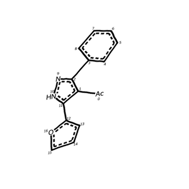 CC(=O)c1c(-c2ccccc2)n[nH]c1-c1ccco1